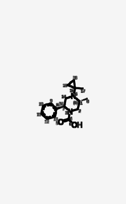 C[C@@H]1CN(C(=O)O)[C@@H](c2ccccc2)CN1C1(C)CC1